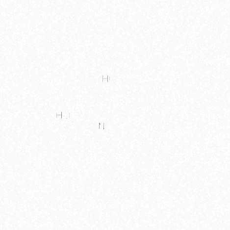 I.O=C(O)n1ccc2ccccc21